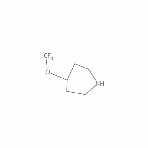 FC(F)(F)OC1[CH]CNCC1